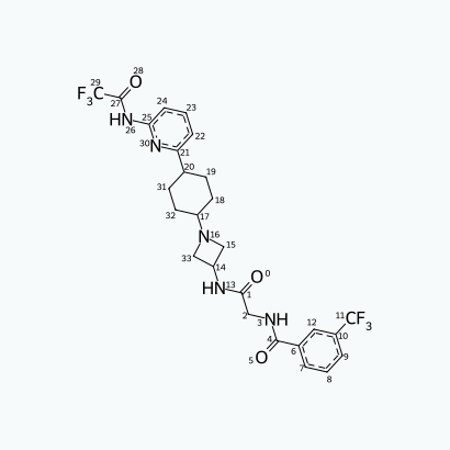 O=C(CNC(=O)c1cccc(C(F)(F)F)c1)NC1CN(C2CCC(c3cccc(NC(=O)C(F)(F)F)n3)CC2)C1